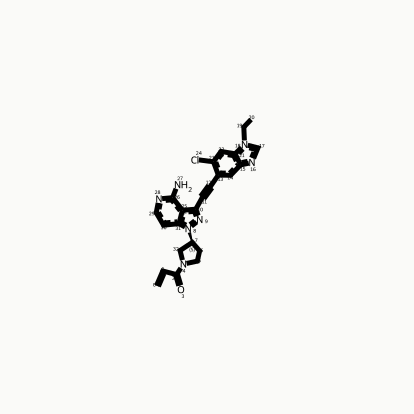 C=CC(=O)N1CC[C@H](n2nc(C#Cc3cc4ncn(CC)c4cc3Cl)c3c(N)nccc32)C1